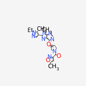 CCn1ncc(-c2nc3c(O[C@H]4CCN(C(=O)c5cc(C)on5)C4)ncnc3n2C)c1C